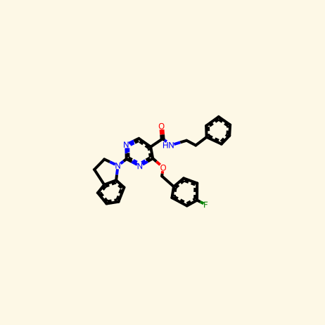 O=C(NCCc1ccccc1)c1cnc(N2CCc3ccccc32)nc1OCc1ccc(F)cc1